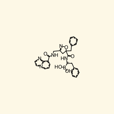 O=C(NCC1=NOC(Cc2ccccc2)(C(=O)N[C@@H](Cc2ccccc2)B(O)O)C1)c1cccn2ccnc12